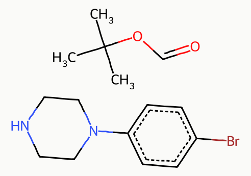 Brc1ccc(N2CCNCC2)cc1.CC(C)(C)OC=O